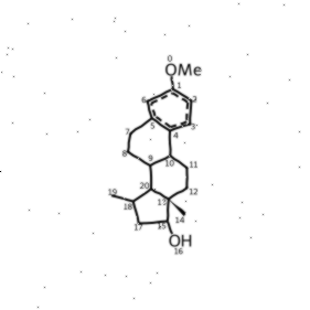 COc1ccc2c(c1)CCC1C2CC[C@]2(C)C(O)CC(C)C12